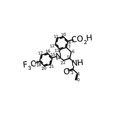 C=CC(=O)NC1Cc2c(C(=O)O)cccc2N(c2ccc(C(F)(F)F)cc2)C1